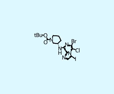 CC(C)(C)OC(=O)N1CCC[C@H](Nc2nc(Br)c(Cl)n3c(I)cnc23)C1